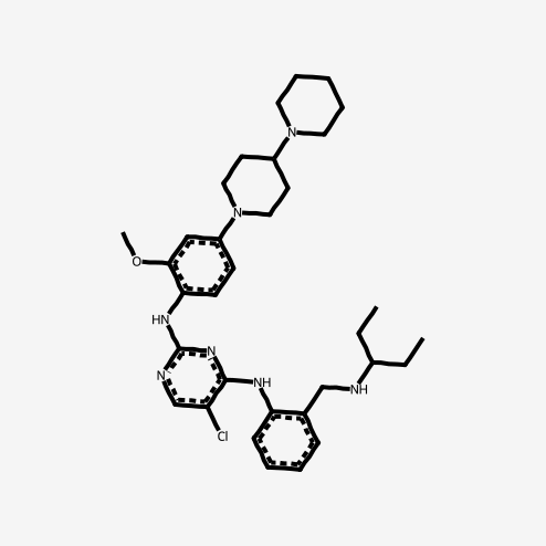 CCC(CC)NCc1ccccc1Nc1nc(Nc2ccc(N3CCC(N4CCCCC4)CC3)cc2OC)ncc1Cl